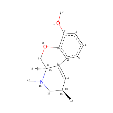 COc1cccc2c1OC[C@H]1C2=C[C@@H](C)CN1C